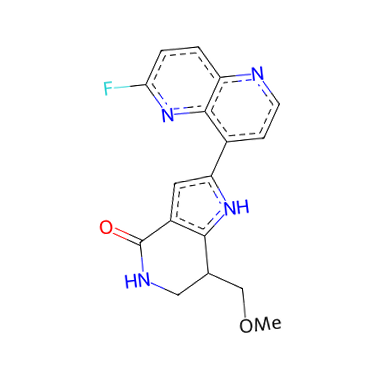 COCC1CNC(=O)c2cc(-c3ccnc4ccc(F)nc34)[nH]c21